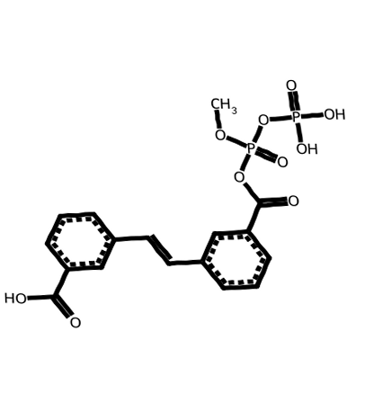 COP(=O)(OC(=O)c1cccc(C=Cc2cccc(C(=O)O)c2)c1)OP(=O)(O)O